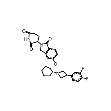 O=C1CCC(N2Cc3cc(O[C@H]4CCCC[C@@H]4N4CC(c5ccc(F)c(F)c5)C4)ccc3C2=O)C(=O)N1